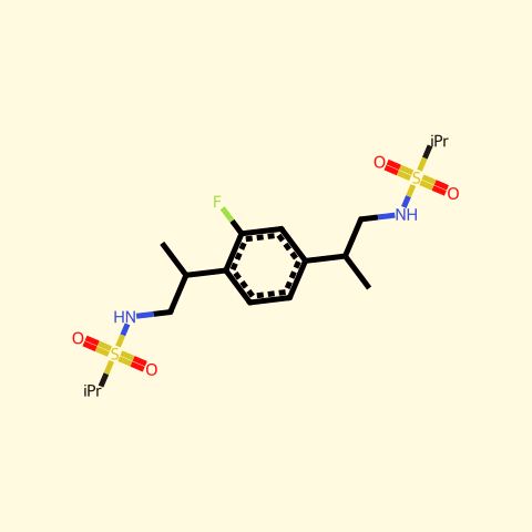 CC(CNS(=O)(=O)C(C)C)c1ccc(C(C)CNS(=O)(=O)C(C)C)c(F)c1